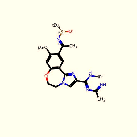 COc1cc2c(cc1/C(C)=N/[S@+]([O-])C(C)(C)C)-c1nc(/C(=N/C(C)=N)NC(C)C)cn1CCO2